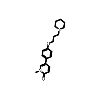 Cn1cc(-c2ccc(OCCCN3CCCCC3)cc2)ccc1=O